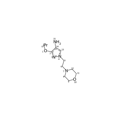 CC(C)Oc1nn(CCN2CCOCC2)cc1N